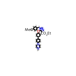 CCOC(=O)c1nnn(Cc2ccc(OC)cc2)c1O[C@H]1CC[C@H](c2ccc(N3CCN(C)CC3)cc2)CC1